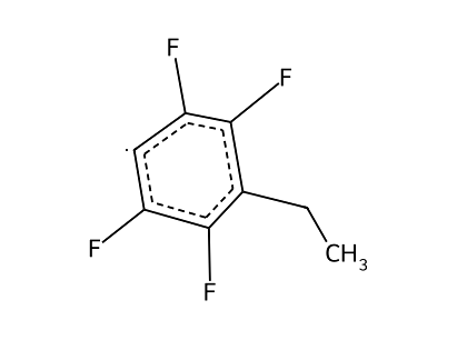 CCc1c(F)c(F)[c]c(F)c1F